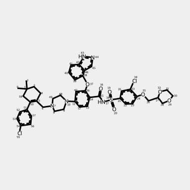 CC1(C)CCC(CN2CCN(c3ccc(C(=O)NS(=O)(=O)c4ccc(OCC5COCCO5)c(Cl)c4)c(Oc4cccc5[nH]ncc45)c3)CC2)=C(c2ccc(Cl)cc2)C1